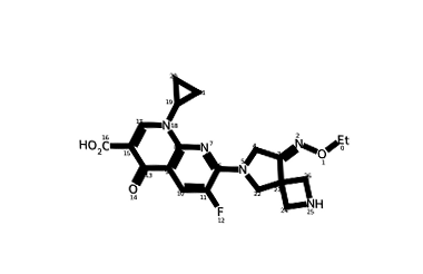 CCO/N=C1/CN(c2nc3c(cc2F)c(=O)c(C(=O)O)cn3C2CC2)CC12CNC2